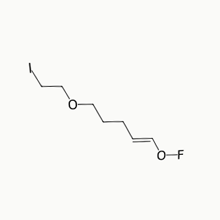 FOC=CCCCOCCI